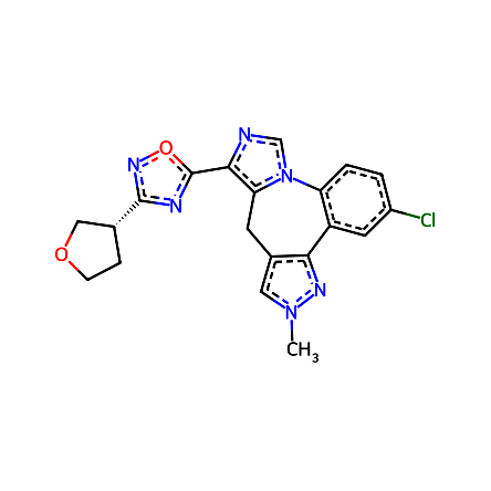 Cn1cc2c(n1)-c1cc(Cl)ccc1-n1cnc(-c3nc([C@@H]4CCOC4)no3)c1C2